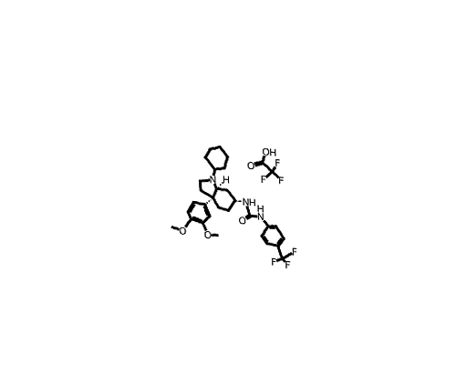 COc1ccc([C@@]23CC[C@@H](NC(=O)Nc4ccc(C(F)(F)F)cc4)C[C@@H]2N(C2CCCCC2)CC3)cc1OC.O=C(O)C(F)(F)F